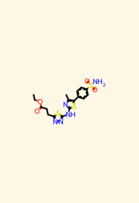 CCOC(=O)CCc1nnc(Nc2nc(C)c(-c3ccc(S(N)(=O)=O)cc3)s2)s1